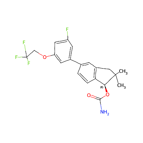 CC1(C)Cc2cc(-c3cc(F)cc(OCC(F)(F)F)c3)ccc2[C@@H]1OC(N)=O